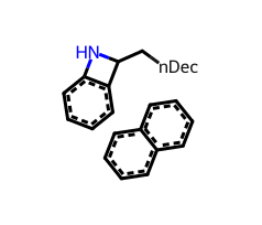 CCCCCCCCCCCC1Nc2ccccc21.c1ccc2ccccc2c1